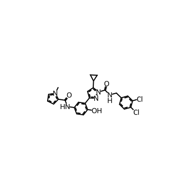 Cn1cccc1C(=O)Nc1ccc(O)c(-c2cc(C3CC3)n(C(=O)NCc3ccc(Cl)c(Cl)c3)n2)c1